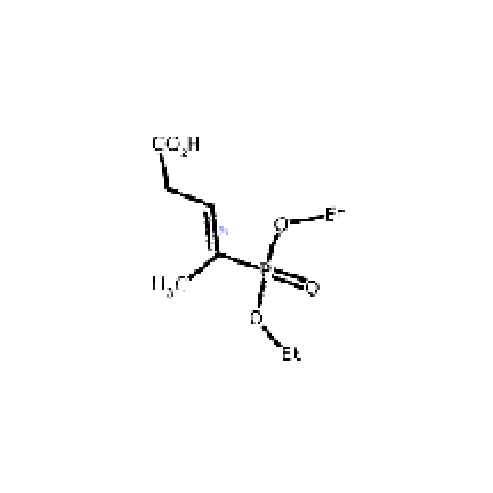 CCOP(=O)(OCC)/C(C)=C/CC(=O)O